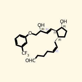 O=CCCC/C=C\C[C@H]1CC[C@@H](O)[C@@H]1/C=C/[C@@H](O)COc1cccc(C(F)(F)F)c1